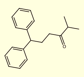 CC(C)C(=O)CCC(c1ccccc1)c1ccccc1